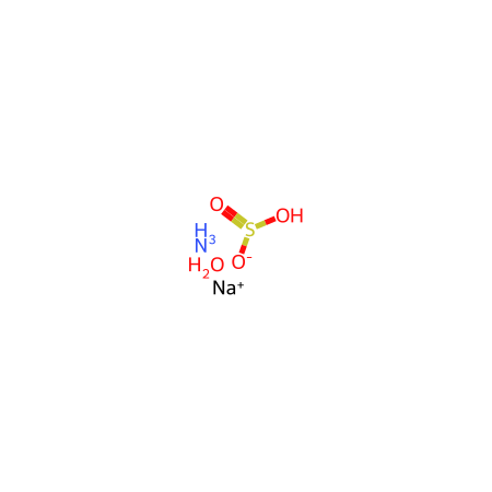 N.O.O=S([O-])O.[Na+]